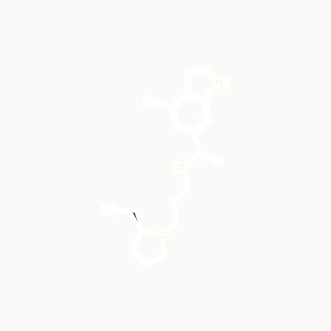 O=C(NCCCN1CCC[C@H]1CO)c1cc(Br)c2cc[nH]c2c1